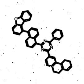 C1=CC2=C(CC1)c1cc(-c3nc(-c4ccccc4)nc(-c4cccc5c(-c6cccc7oc8ccccc8c67)cccc45)n3)ccc1CC2